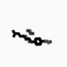 CN(C)CCNN=CNc1ccc(C(=O)O)cc1.Cl.Cl